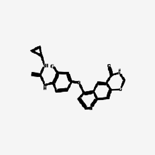 C=C(Nc1ccc(Oc2ccnc3cc4c(cc23)C(=O)NCO4)cc1Cl)NC1CC1